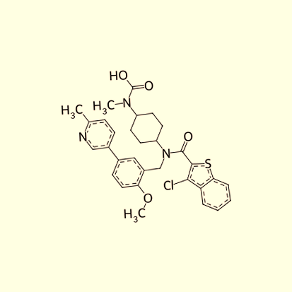 COc1ccc(-c2ccc(C)nc2)cc1CN(C(=O)c1sc2ccccc2c1Cl)C1CCC(N(C)C(=O)O)CC1